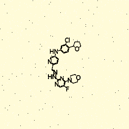 Fc1cnc(N/N=C/c2ccc(Nc3ccc(C4CCCO4)c(Cl)c3)cn2)nc1N1CCOCC1